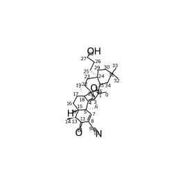 CC(=O)/C=C1/[C@@]2(C)C=C(C#N)C(=O)[C@@H](C)[C@@H]2CC[C@@]1(C)[C@]1(C)CC[C@@]2(CCCO)CCC(C)(C)CC2C1